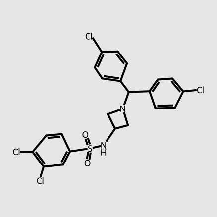 O=S(=O)(NC1CN(C(c2ccc(Cl)cc2)c2ccc(Cl)cc2)C1)c1ccc(Cl)c(Cl)c1